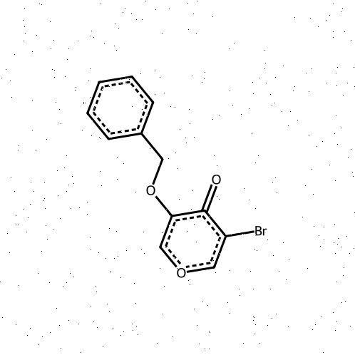 O=c1c(Br)cocc1OCc1ccccc1